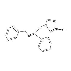 [O-][n+]1ccn(CC(=NCc2ccccc2)c2ccccc2)c1